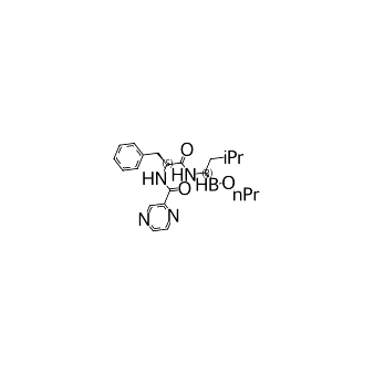 CCCOB[C@H](CC(C)C)NC(=O)[C@H](Cc1ccccc1)NC(=O)c1cnccn1